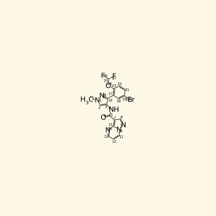 Cn1cc(NC(=O)c2cnn3cccnc23)c(-c2cc(Br)ccc2OC(F)F)n1